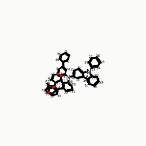 c1ccc(-c2cccc(N(c3ccc4c(c3)c3ccccc3n4-c3ccccc3)c3cccc(-c4ccccc4)c3-c3cccc4oc5ccccc5c34)c2)cc1